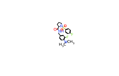 CN(C)c1ccc(CNC(=O)C2CCCN2S(=O)(=O)c2ccc(F)cc2)cc1F